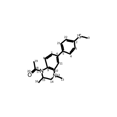 CSc1ccc(-c2ccc3c(c2)N(C)CC(C)N3C(C)=O)cc1